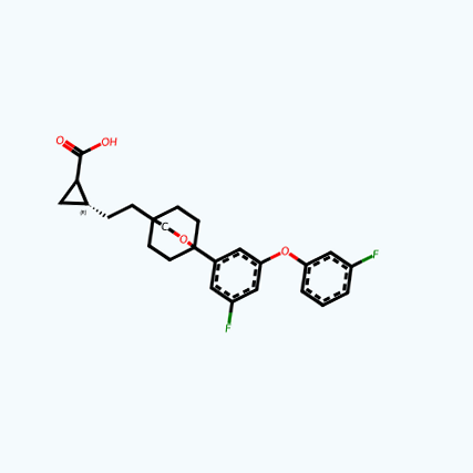 O=C(O)C1C[C@H]1CCC12CCC(c3cc(F)cc(Oc4cccc(F)c4)c3)(CC1)OC2